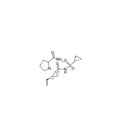 C=C[C@@H]1C[C@@]1(C(=O)NS(=O)(=O)C1CC1)N1CCCC1C(N)=O